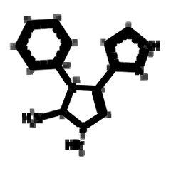 Br.NC1SC=C(c2cc[nH]n2)N1c1ccccc1